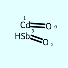 [O]=[Cd].[O]=[SbH]